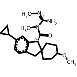 C/N=C(/N)N(C)C(=O)[C@@H]1c2cc(C3CC3)ccc2CC12CCC(OC)CC2